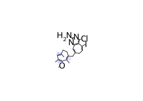 COC1=C(C)/C=C(\C)CC/C(CC2=Cc3nc(N)nc(Cl)c3C(I)=CC2)=C\1C